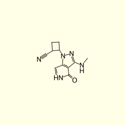 CNc1nn(C2CCC2C#N)c2cc[nH]c(=O)c12